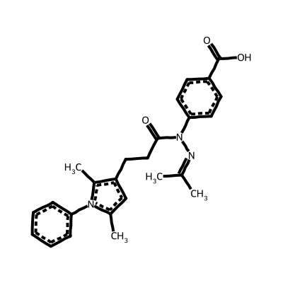 CC(C)=NN(C(=O)CCc1cc(C)n(-c2ccccc2)c1C)c1ccc(C(=O)O)cc1